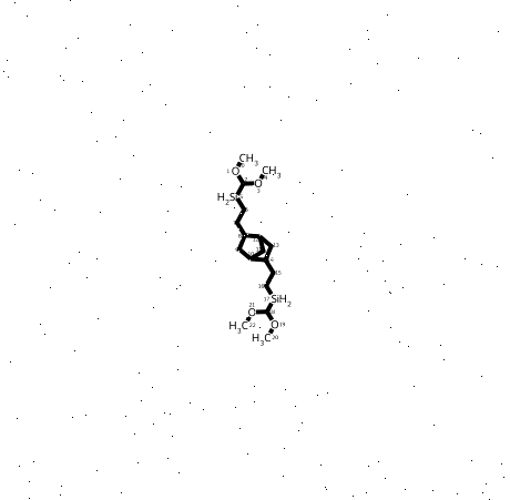 COC(OC)[SiH2]CCC1CC2CC1CC2CC[SiH2]C(OC)OC